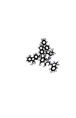 C=C/C(=C\C=C1/CC(C)(C)c2ccccc21)N1SC2=C(CC(C)(C)C2)C(=C)B2c3cc4c(cc3N(c3ccc5c(c3)C(C)(C)c3ccccc3-5)c3cc(C)cc1c32)CCC4(c1ccccc1)c1ccccc1